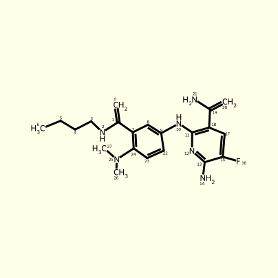 C=C(NCCCC)c1cc(Nc2nc(N)c(F)cc2C(=C)N)ccc1N(C)C